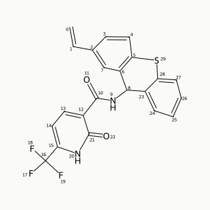 C=Cc1ccc2c(c1)C(NC(=O)c1ccc(C(F)(F)F)[nH]c1=O)c1ccccc1S2